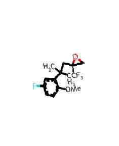 COc1ccc(F)cc1C(C)(C)C[C@@]1(C(F)(F)F)CO1